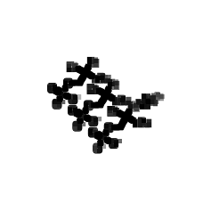 CCCCC(CC)(CC)COP(=O)([O-])[O-].CCCCC(CC)(CC)COP(=O)([O-])[O-].CCCCC(CC)(CC)COP(=O)([O-])[O-].[Nd+3].[Nd+3]